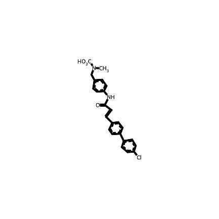 CN(Cc1ccc(NC(=O)/C=C/c2ccc(-c3ccc(Cl)cc3)cc2)cc1)C(=O)O